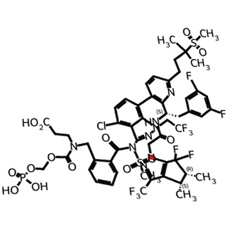 C[C@@H]1c2c(C(F)(F)F)nn(CC(=O)N[C@@H](Cc3cc(F)cc(F)c3)c3nc(CCC(C)(C)S(C)(=O)=O)ccc3-c3ccc(Cl)c4c(N(C(=O)c5ccccc5CN(CCC(=O)O)C(=O)OCOP(=O)(O)O)S(C)(=O)=O)nn(CC(F)(F)F)c34)c2C(F)(F)[C@@H]1C